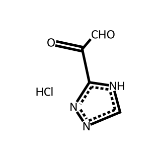 Cl.O=CC(=O)c1nnc[nH]1